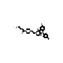 CCCCC(=O)N1CCN(CCN2CC[C@@H]3[C@@H](C2)c2cc(F)ccc2N3c2ccc(F)cc2)CC1